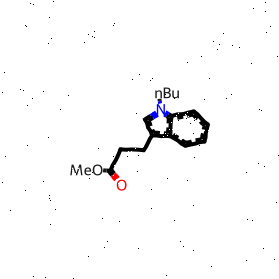 CCCCn1cc(CCC(=O)OC)c2ccccc21